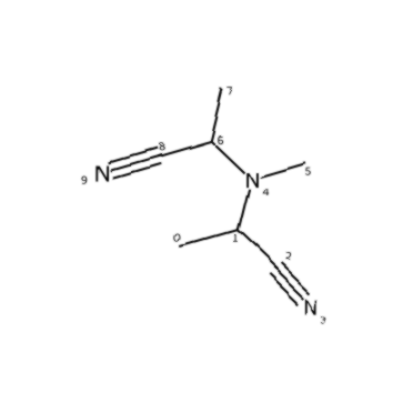 CC(C#N)N(C)C(C)C#N